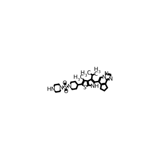 Cc1c(C2CCN(S(=O)(=O)N3CCNCC3)CC2)sc2[nH]c(-c3cn4ncnc4c4c3CCC4)c(C(C)C)c12